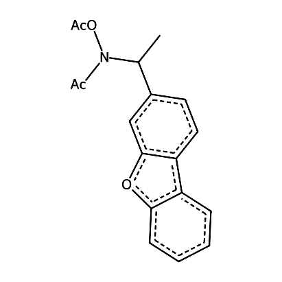 CC(=O)ON(C(C)=O)C(C)c1ccc2c(c1)oc1ccccc12